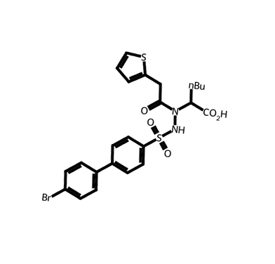 CCCCC(C(=O)O)N(NS(=O)(=O)c1ccc(-c2ccc(Br)cc2)cc1)C(=O)Cc1cccs1